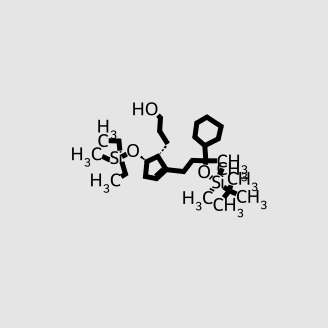 CC[Si](CC)(CC)O[C@H]1CC=C(CCC(C)(O[Si](C)(C)C(C)(C)C)C2CCCCC2)[C@H]1CCCO